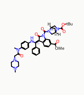 COC(=O)c1ccc2c(c1)N(C(=O)N1C[C@@H]3C[C@H]1CN3C(=O)OC(C)(C)C)C(=O)/C2=C(\Nc1ccc(N(C)C(=O)CN2CCN(C)CC2)cc1)c1ccccc1